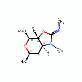 C/N=C1\O[C@H]2[C@H](OC)O[C@H](C)C[C@@H]2N1C